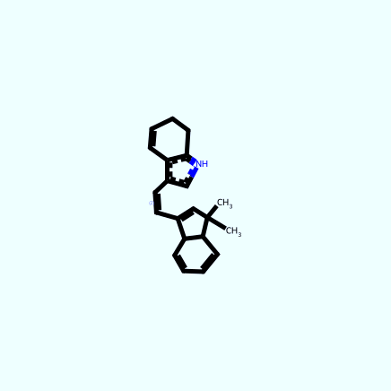 CC1(C)C=C(/C=C\c2c[nH]c3c2C=CCC3)C2C=CC=CC21